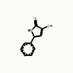 O=C1NC(c2ccccc2)C=C1O